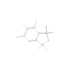 Cc1cc2c(c(C)c1C=O)C(C)(C)CC2(C)C